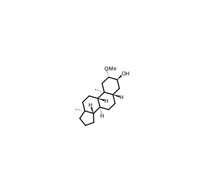 CO[C@H]1C[C@@]2(C)[C@@H](CC[C@H]3[C@@H]4CCC[C@@]4(C)CC[C@@H]32)C[C@@H]1O